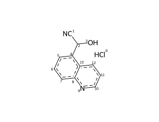 Cl.N#CC(O)c1cccc2ncccc12